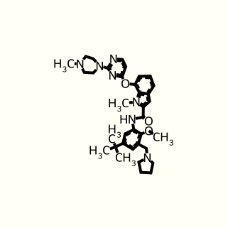 COc1c(CN2CCCC2)cc(C(C)(C)C)cc1NC(=O)c1cc2cccc(Oc3ccnc(N4CCN(C)CC4)n3)c2n1C